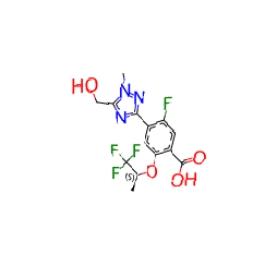 C[C@H](Oc1cc(-c2nc(CO)n(C)n2)c(F)cc1C(=O)O)C(F)(F)F